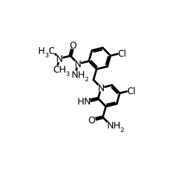 CN(C)C(=O)N(N)c1ccc(Cl)cc1Cn1cc(Cl)cc(C(N)=O)c1=N